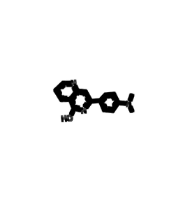 CN(C)c1ccc(-c2cc3ncccc3c(O)n2)cc1